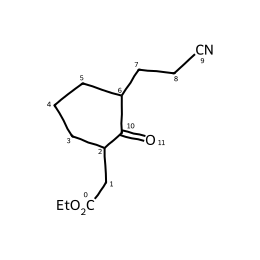 CCOC(=O)CC1CCCC(CCC#N)C1=O